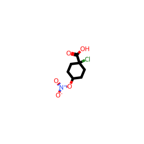 O=C(O)C1(Cl)CCC(O[N+](=O)[O-])CC1